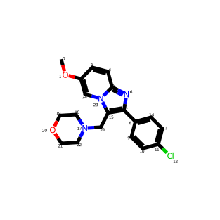 COc1ccc2nc(-c3ccc(Cl)cc3)c(CN3CCOCC3)n2c1